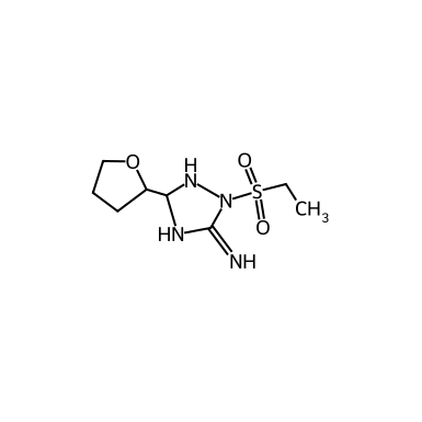 CCS(=O)(=O)N1NC(C2CCCO2)NC1=N